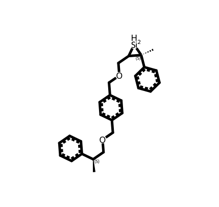 C[C@H](COCc1ccc(COCC2[SiH2][C@@]2(C)c2ccccc2)cc1)c1ccccc1